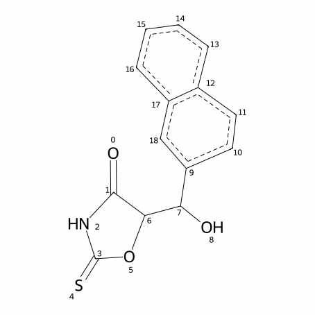 O=C1NC(=S)OC1C(O)c1ccc2ccccc2c1